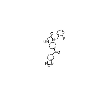 O=C(c1ccc2nonc2c1)N1CCC2(CC1)NCC(=O)N2Cc1ccccc1F